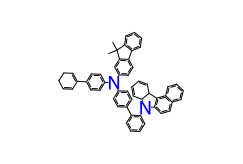 CC1(C)c2ccccc2-c2ccc(N(c3ccc(C4=CCCC=C4)cc3)c3ccc(-c4ccccc4N4c5ccc6ccccc6c5C5C=CC=CC54)cc3)cc21